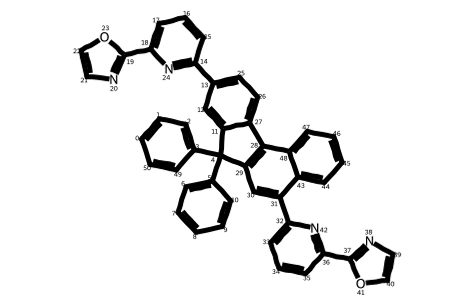 c1ccc(C2(c3ccccc3)c3cc(-c4cccc(-c5ncco5)n4)ccc3-c3c2cc(-c2cccc(-c4ncco4)n2)c2ccccc32)cc1